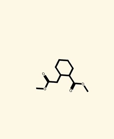 COC(=O)CC1CCCCC1C(=O)OC